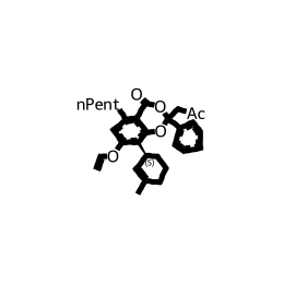 C=COc1cc(CCCCC)c2c(c1[C@@H]1C=C(C)CCC1)OC(CC(C)=O)(c1ccccc1)OC2=O